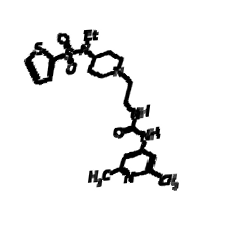 CCN(C1CCN(CCNC(=O)Nc2cc(C)nc(C)c2)CC1)S(=O)(=O)c1cccs1